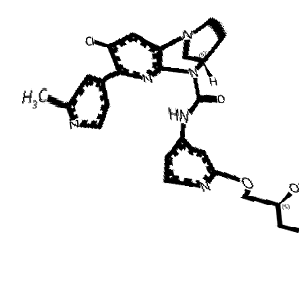 Cc1cc(-c2nc3c(cc2Cl)N2CC[C@@H](C2)N3C(=O)Nc2ccnc(OC[C@@H](O)CO)c2)ccn1